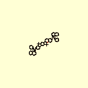 Cc1ccc(N(c2ccccc2)c2cccc3ccccc23)cc1/C=C\C1=CC(C)(C)c2cc3c(cc21)C(C)(C)c1cc(N(c2ccccc2)c2cccc4ccccc24)ccc1-3